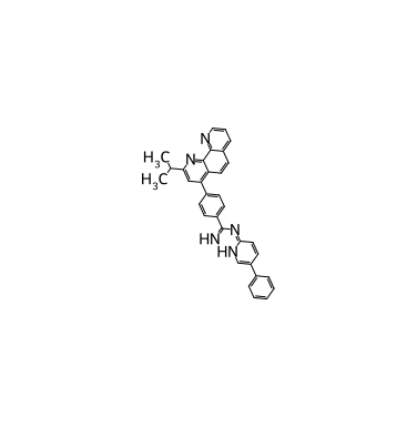 CC(C)c1cc(-c2ccc(C(=N)/N=c3/ccc(-c4ccccc4)c[nH]3)cc2)c2ccc3cccnc3c2n1